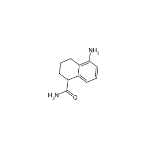 NC(=O)C1CCCc2c(N)cccc21